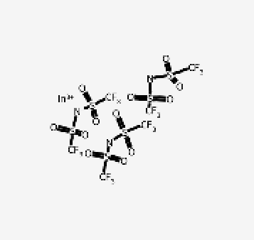 O=S(=O)([N-]S(=O)(=O)C(F)(F)F)C(F)(F)F.O=S(=O)([N-]S(=O)(=O)C(F)(F)F)C(F)(F)F.O=S(=O)([N-]S(=O)(=O)C(F)(F)F)C(F)(F)F.[In+3]